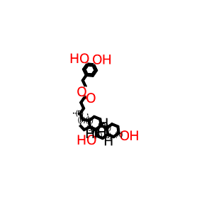 C[C@H](CCC(=O)OCCc1ccc(O)c(O)c1)[C@H]1CC[C@H]2[C@@H]3[C@@H](O)C[C@@H]4C[C@H](O)CC[C@]4(C)[C@H]3CC[C@]12C